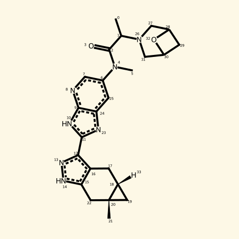 CC(C(=O)N(C)c1cnc2[nH]c(-c3n[nH]c4c3C[C@@H]3C[C@]3(C)C4)nc2c1)N1CC2CC(C1)O2